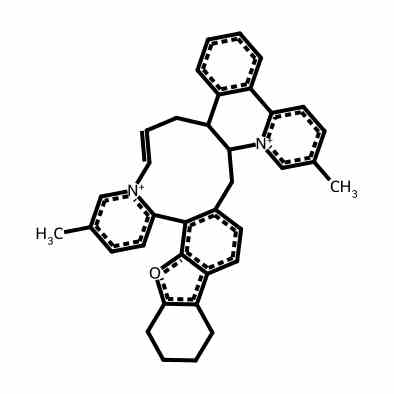 Cc1ccc2[n+](c1)/C=C/CC1c3ccccc3-c3ccc(C)c[n+]3C1Cc1ccc3c4c(oc3c1-2)CCCC4